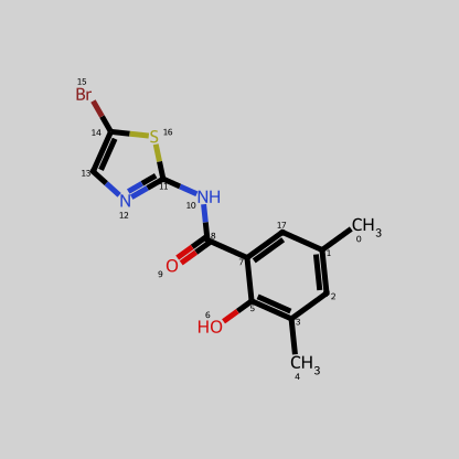 Cc1cc(C)c(O)c(C(=O)Nc2ncc(Br)s2)c1